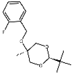 CC(C)(C)[C@H]1OC[C@@](C)(OCc2ccccc2F)CO1